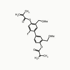 C=C(C)C(=O)Oc1ccc(-c2cc(COC)c(OC(=O)C(=C)C)cc2F)cc1COC